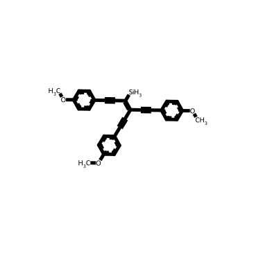 COc1ccc(C#CC([SiH3])=C(C#Cc2ccc(OC)cc2)C#Cc2ccc(OC)cc2)cc1